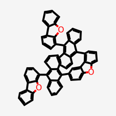 c1ccc2c(c1)oc1c(-c3c4ccccc4c(-c4ccc5oc6cccc(-c7c8ccccc8c(-c8cccc9c8oc8ccccc89)c8ccccc78)c6c5c4)c4ccccc34)cccc12